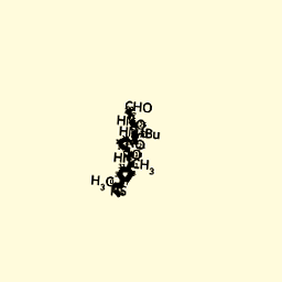 Cc1ncsc1-c1ccc([C@H](C)NC(=O)[C@@H]2CCCN2C(=O)[C@@H](NC(=O)NCCC=O)C(C)(C)C)cc1